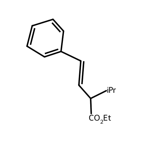 CCOC(=O)C(C=Cc1ccccc1)C(C)C